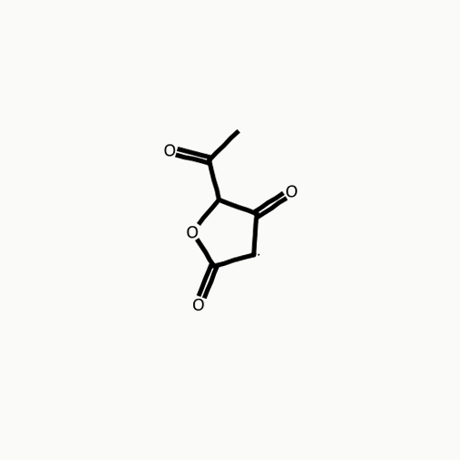 CC(=O)C1OC(=O)[CH]C1=O